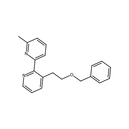 Cc1cccc(-c2ncccc2CCOCc2ccccc2)n1